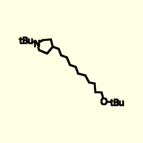 CC(C)(C)OCCCCCCCCCCCC1CCN(C(C)(C)C)CC1